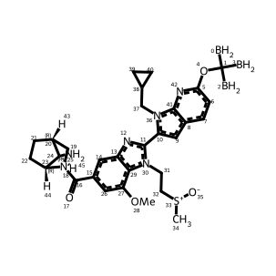 BC(B)(B)Oc1ccc2cc(-c3nc4cc(C(=O)N5C[C@H]6CC[C@@H]5[C@@H]6N)cc(OC)c4n3CC[S+](C)[O-])n(CC3CC3)c2n1